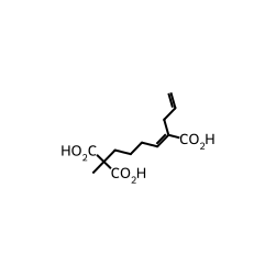 C=CCC(=CCCCC(C)(C(=O)O)C(=O)O)C(=O)O